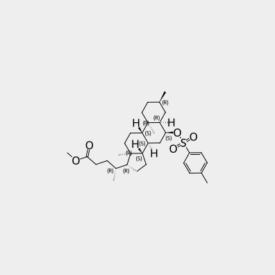 COC(=O)CC[C@@H](C)[C@H]1CC[C@H]2[C@@H]3C[C@H](OS(=O)(=O)c4ccc(C)cc4)[C@@H]4C[C@H](C)CC[C@]4(C)[C@H]3CC[C@]12C